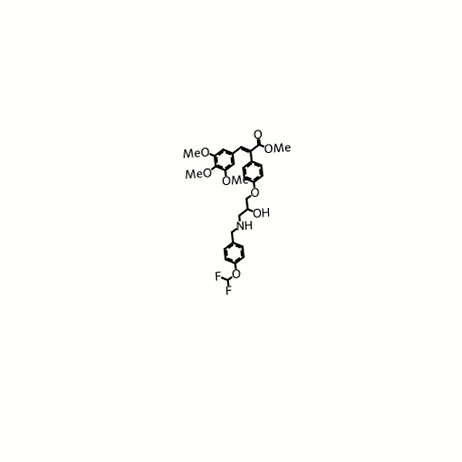 COC(=O)C(=Cc1cc(OC)c(OC)c(OC)c1)c1ccc(OCC(O)CNCc2ccc(OC(F)F)cc2)cc1